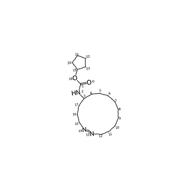 O=C(NC1CCCCCCCCCN=NCCC1)OC1CCCC1